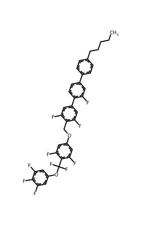 CCCCCc1ccc(-c2ccc(-c3cc(F)c(COc4cc(F)c(C(F)(F)Oc5cc(F)c(F)c(F)c5)c(F)c4)c(F)c3)c(F)c2)cc1